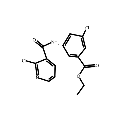 CCOC(=O)c1cccc(Cl)c1.NC(=O)c1cccnc1Cl